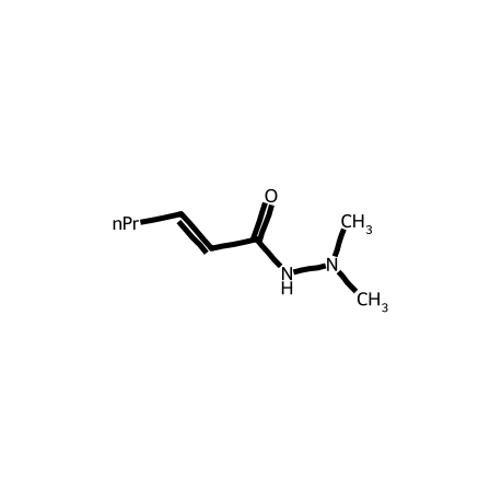 CCCC=CC(=O)NN(C)C